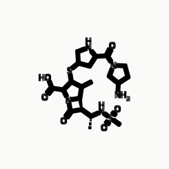 CC1C(SC2CNC(C(=O)N3CCC(N)C3)C2)C(C(=O)O)N2C(=O)[C@H]([C@@H](C)NS(C)(=O)=O)C12